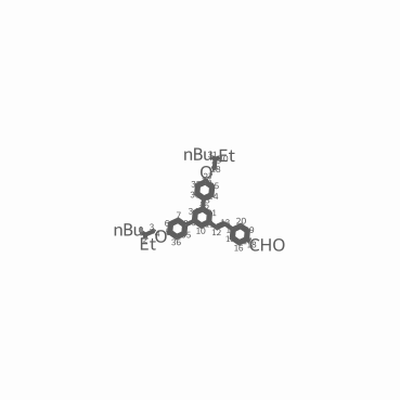 CCCCC(CC)COc1ccc(-c2cc(/C=C/c3ccc(C=O)cc3)cc(-c3ccc(OCC(CC)CCCC)cc3)c2)cc1